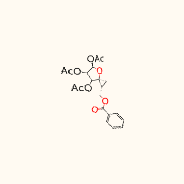 CC(=O)OC1C(OC(C)=O)[C@@]2(C[C@@H]2COC(=O)c2ccccc2)O[C@@H]1OC(C)=O